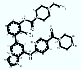 CCN1CCN(C(=O)Nc2cccc(-c3cc(Nc4ccc(C(=O)N5CCOCC5)cn4)c4nccn4c3)c2C)CC1